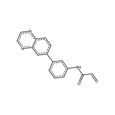 C=CC(=O)Nc1cccc(-c2ccc3nccnc3c2)c1